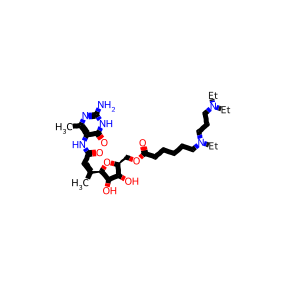 CCN(CC)CCCN(CC)CCCCCC(=O)OC[C@@H]1O[C@H](/C(C)=C\C(=O)Nc2c(C)nc(N)[nH]c2=O)C(O)C1O